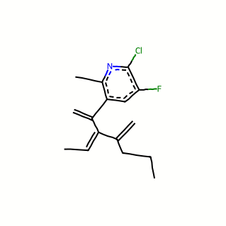 C=C(CCC)/C(=C/C)C(=C)c1cc(F)c(Cl)nc1C